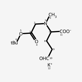 CN(CC(=O)OC(C)(C)C)C(CCC=O)C(=O)[O-].[K+]